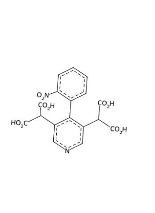 O=C(O)C(C(=O)O)c1cncc(C(C(=O)O)C(=O)O)c1-c1ccccc1[N+](=O)[O-]